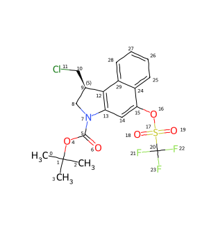 CC(C)(C)OC(=O)N1C[C@@H](CCl)c2c1cc(OS(=O)(=O)C(F)(F)F)c1ccccc21